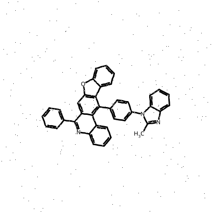 Cc1nc2ccccc2n1-c1ccc(-c2c3c(cc4c(-c5ccccc5)nc5ccccc5c24)oc2ccccc23)cc1